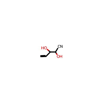 C=CC(O)C(O)C#N